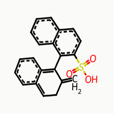 C=C1CC=c2ccccc2=C1c1c(S(=O)(=O)O)ccc2ccccc12